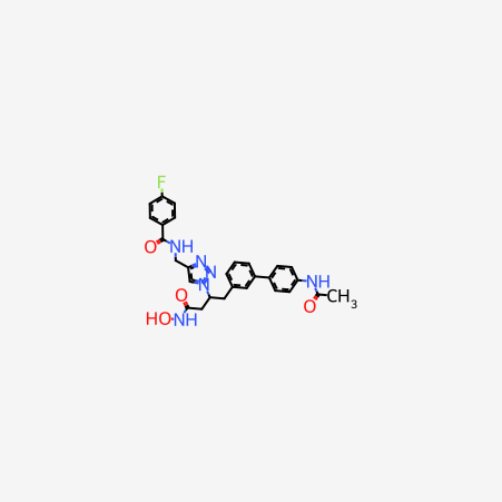 CC(=O)Nc1ccc(-c2cccc(CC(CC(=O)NO)n3cc(CNC(=O)c4ccc(F)cc4)nn3)c2)cc1